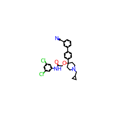 N#Cc1cccc(-c2ccc(C3(OCC(=O)Nc4cc(Cl)cc(Cl)c4)CCN(CC4CC4)CC3)cc2)c1